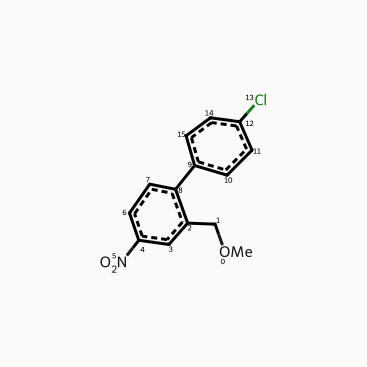 COCc1cc([N+](=O)[O-])ccc1-c1ccc(Cl)cc1